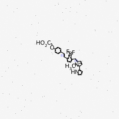 C[N+]1=C(c2ccc[nH]2)C=C/C1=C/c1ccc(/C=C/c2ccc(OCC(=O)O)cc2)n1B(F)F